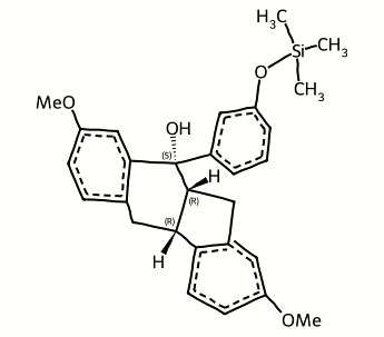 COc1ccc2c(c1)C[C@@H]1[C@H]2Cc2ccc(OC)cc2[C@@]1(O)c1cccc(O[Si](C)(C)C)c1